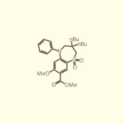 CCCCC1(CCCC)CN(c2ccccc2)c2cc(OC)c(C(=O)OC)cc2S(=O)(=O)C1